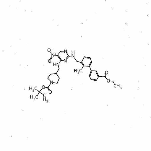 CCOC(=O)c1cccc(-c2cccc(CNc3ncc([N+](=O)[O-])c(NCC4CCN(C(=O)OC(C)(C)C)CC4)n3)c2C)c1